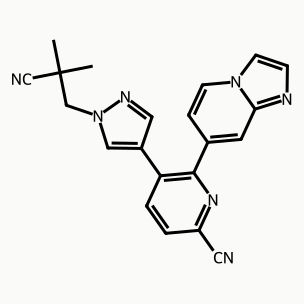 CC(C)(C#N)Cn1cc(-c2ccc(C#N)nc2-c2ccn3ccnc3c2)cn1